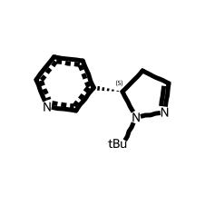 CC(C)(C)N1N=CC[C@H]1c1cccnc1